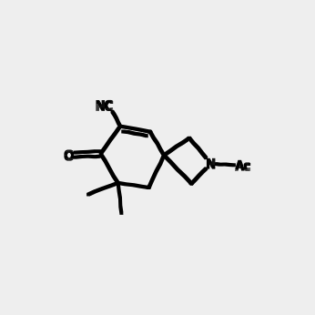 CC(=O)N1CC2(C=C(C#N)C(=O)C(C)(C)C2)C1